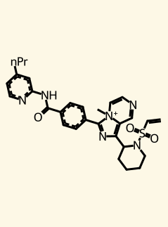 C=CS(=O)(=O)N1CCCCC1C1=C2C=NC=C[N+]2(C)C(c2ccc(C(=O)Nc3cc(CCC)ccn3)cc2)=N1